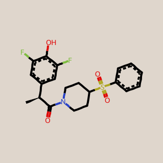 C[C@H](C(=O)N1CCC(S(=O)(=O)c2ccccc2)CC1)c1cc(F)c(O)c(F)c1